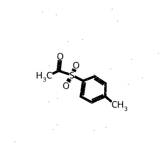 CC(=O)S(=O)(=O)c1ccc(C)cc1